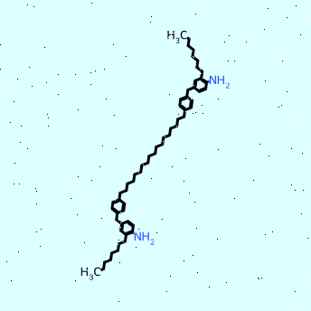 CCCCCCCCc1cc(Cc2ccc(CCCCCCCCCCCCCCCCCCc3ccc(Cc4ccc(N)c(CCCCCCCC)c4)cc3)cc2)ccc1N